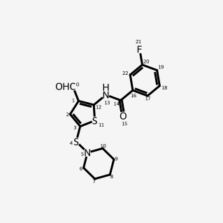 O=Cc1cc(SN2CCCCC2)sc1NC(=O)c1cccc(F)c1